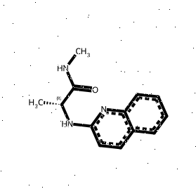 CNC(=O)[C@@H](C)Nc1ccc2ccccc2n1